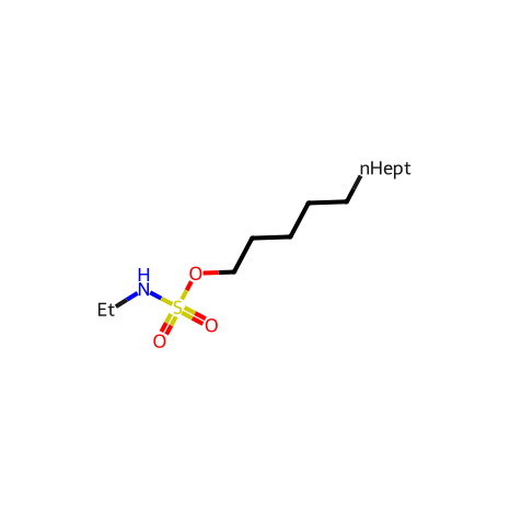 CCCCCCCCCCCCOS(=O)(=O)NCC